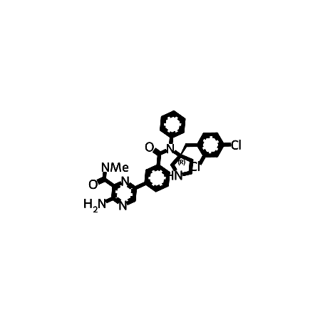 CNC(=O)c1nc(-c2cccc(C(=O)N(c3ccccc3)[C@]3(Cc4ccc(Cl)cc4Cl)CCNC3)c2)cnc1N